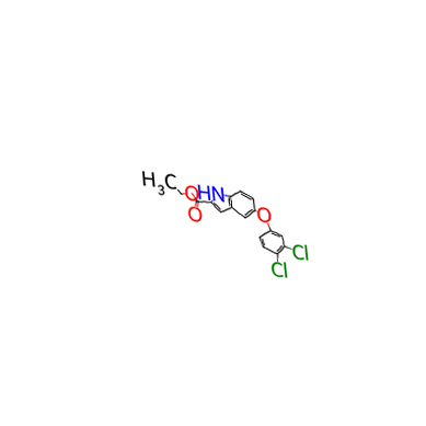 CCOC(=O)c1cc2cc(Oc3ccc(Cl)c(Cl)c3)ccc2[nH]1